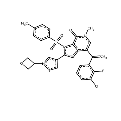 C=C(c1cccc(Cl)c1F)c1cn(C)c(=O)c2c1cc(-c1cnn(C3COC3)c1)n2S(=O)(=O)c1ccc(C)cc1